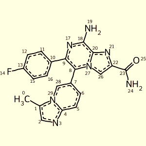 Cc1cnc2ccc(-c3c(-c4ccc(F)cc4)nc(N)c4nc(C(N)=O)cn34)cn12